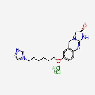 Cl.Cl.O=C1CN2Cc3cc(OCCCCCCn4ccnc4)ccc3N=C2N1